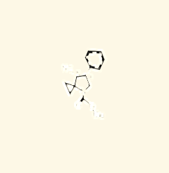 CC(C)(C)OC(=O)N1C[C@H](c2ccccc2)[C@@H](C#N)C12CC2